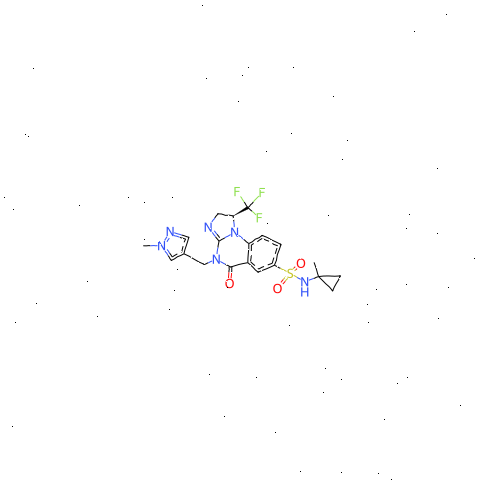 Cn1cc(CN2C(=O)c3cc(S(=O)(=O)NC4(C)CC4)ccc3N3C2=NC[C@H]3C(F)(F)F)cn1